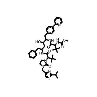 COC(=O)NC(C(=O)NC(Cc1ccc(-c2ccccn2)cc1)C(O)CC(Cc1ccccc1)NC(=O)C(N1CCN(Cc2csc(C(C)C)n2)C1=O)C(C)(C)C)C(C)(C)C